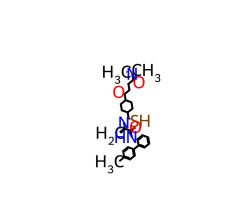 C=C(/N=C(\S)C1CCC(C(=O)CCC(=O)N(C)C)CC1)C(=O)Nc1ccccc1-c1ccc(C)cc1